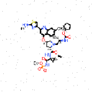 C=C[C@@H]1C[C@]1(NC(=O)[C@@H]1C[C@@H](Oc2cc(-c3csc(NC(C)C)n3)nc3cc(OC)ccc23)CN1C[C@@H](NC(=O)OC1CCCC1)C(C)(C)C)C(=O)NP(=O)(O)OCC